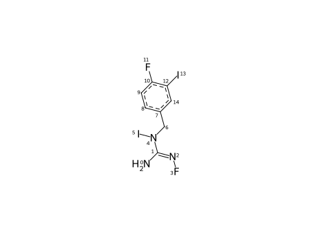 NC(=NF)N(I)Cc1ccc(F)c(I)c1